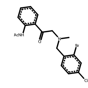 CC(=O)Nc1ccccc1C(=O)CN(C)Cc1ccc(Cl)cc1Br